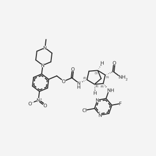 CN1CCN(c2ccc([N+](=O)[O-])cc2COC(=O)N[C@@H]2C[C@@H]3C[C@H]2[C@@H](Nc2nc(Cl)ncc2F)[C@H]3C(N)=O)CC1